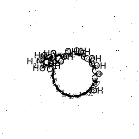 CC1OC(O[C@H]2/C=C/C=C/C=C/C=C/C=C/C=C/C=C/[C@H](C)[C@@H](O)[C@@H](C)C(C)OC(=O)C[C@H](O)C[C@H](O)CC[C@@H](O)[C@H](O)C[C@H](O)C[C@]3(O)C[C@H](O)[C@@H](C(=O)O)[C@H](C2)O3)C(O)C(N)C1O